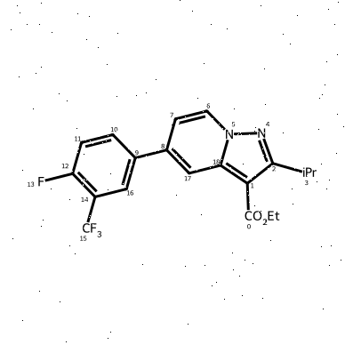 CCOC(=O)c1c(C(C)C)nn2ccc(-c3ccc(F)c(C(F)(F)F)c3)cc12